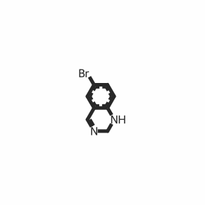 Brc1ccc2c(c1)C=NCN2